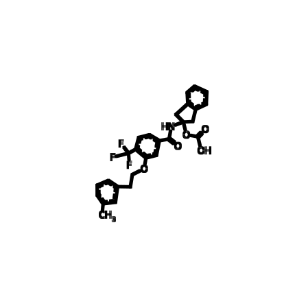 Cc1cccc(CCOc2cc(C(=O)NC3(OC(=O)O)Cc4ccccc4C3)ccc2C(F)(F)F)c1